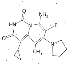 Cc1c(N2CCCC2)c(F)c(N)n2c(=O)[nH]c(=O)c(C3CC3)c12